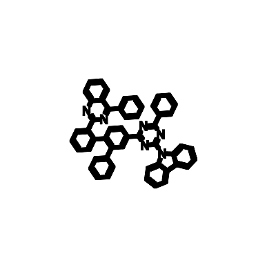 c1ccc(-c2nc(-c3ccc(-c4ccccc4-c4nc(-c5ccccc5)c5ccccc5n4)c(-c4ccccc4)c3)nc(-n3c4ccccc4c4ccccc43)n2)cc1